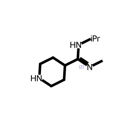 C/N=C(\NC(C)C)C1CCNCC1